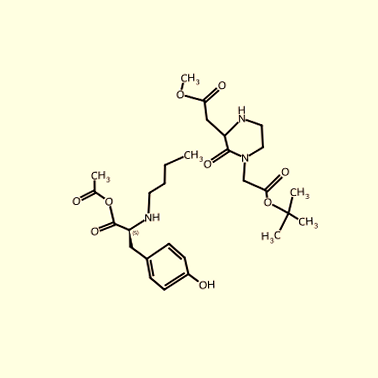 CCCCN[C@@H](Cc1ccc(O)cc1)C(=O)OC(C)=O.COC(=O)CC1NCCN(CC(=O)OC(C)(C)C)C1=O